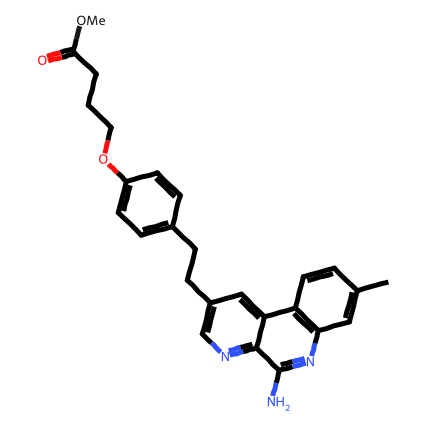 COC(=O)CCCOc1ccc(CCc2cnc3c(N)nc4cc(C)ccc4c3c2)cc1